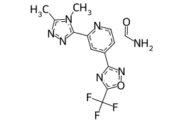 Cc1nnc(-c2cc(-c3noc(C(F)(F)F)n3)ccn2)n1C.NC=O